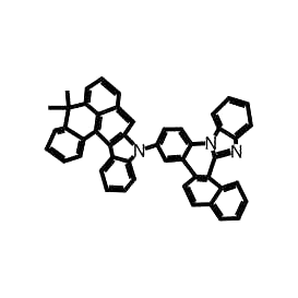 CC1(C)c2ccccc2-c2c3c1cccc3cc1c2c2ccccc2n1-c1ccc2c(c1)c1ccc3ccccc3c1c1nc3ccccc3n21